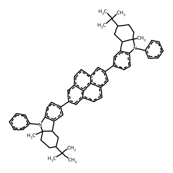 CC(C)(C)C1CCC2(C)C(C1)c1cc(-c3cc4ccc5cc(-c6ccc7c(c6)C6CC(C(C)(C)C)CCC6(C)N7c6ccccc6)cc6ccc(c3)c4c56)ccc1N2c1ccccc1